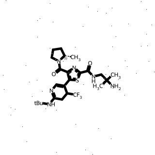 C[C@H]1CCCN1C(=O)c1nc(C(=O)NCC(C)(C)N)sc1C1=CN=C(NC(C)(C)C)CC1C(F)(F)F